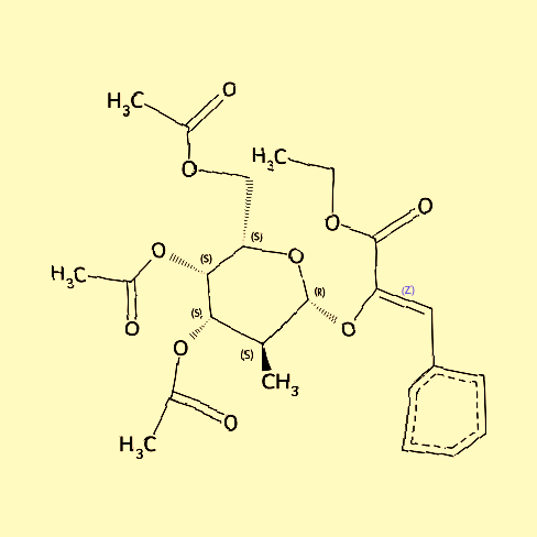 CCOC(=O)/C(=C/c1ccccc1)O[C@H]1O[C@@H](COC(C)=O)[C@@H](OC(C)=O)[C@@H](OC(C)=O)[C@@H]1C